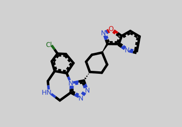 Clc1ccc2c(c1)CNCc1nnc([C@H]3CC[C@H](c4noc5cccnc54)CC3)n1-2